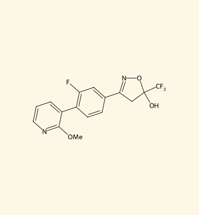 COc1ncccc1-c1ccc(C2=NOC(O)(C(F)(F)F)C2)cc1F